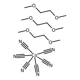 COCCOC.COCCOC.COCCOC.N#[C][Co]([C]#N)([C]#N)([C]#N)([C]#N)[C]#N